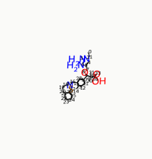 CCN(N)/C=C(\N)COC(c1ccc(C)c(CN2CCCc3ccccc3S2)c1)C(C)(C)C(=O)O